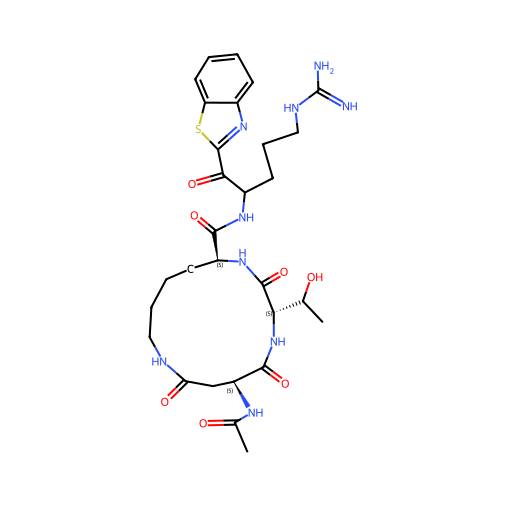 CC(=O)N[C@H]1CC(=O)NCCCC[C@@H](C(=O)NC(CCCNC(=N)N)C(=O)c2nc3ccccc3s2)NC(=O)[C@H](C(C)O)NC1=O